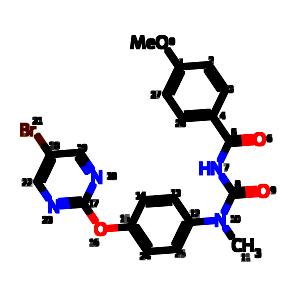 COc1ccc(C(=O)NC(=O)N(C)c2ccc(Oc3ncc(Br)cn3)cc2)cc1